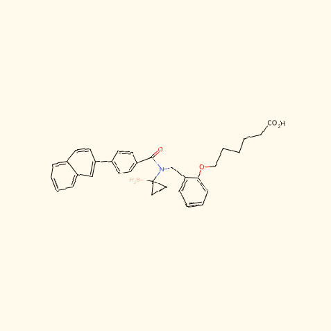 BC1(N(Cc2ccccc2OCCCCCC(=O)O)C(=O)c2ccc(-c3ccc4ccccc4c3)cc2)CC1